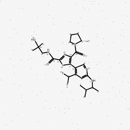 CC(C)C(C)Nc1cc(C(F)F)c(-c2sc(C(=O)NCC(C)(C)O)nc2C(=O)N2CCC[C@@H]2C)cn1